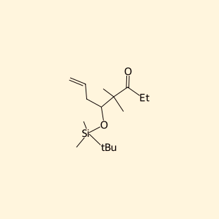 C=CCC(O[Si](C)(C)C(C)(C)C)C(C)(C)C(=O)CC